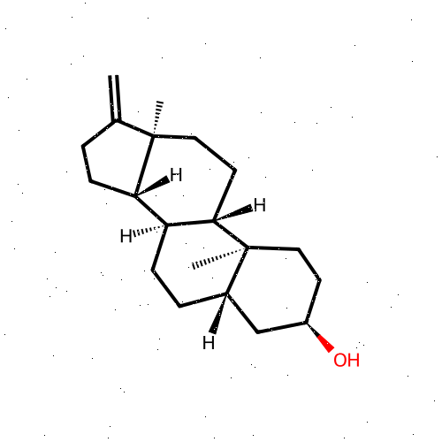 C=C1CC[C@H]2[C@@H]3CC[C@H]4C[C@H](O)CC[C@]4(C)[C@H]3CC[C@]12C